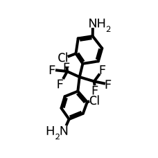 Nc1ccc(C(c2ccc(N)cc2Cl)(C(F)(F)F)C(F)(F)F)c(Cl)c1